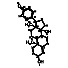 C[C@]12CC[C@H](O)C=C1CCC1C2CC[C@]2(C)[C@@H](c3ccc(=O)oc3)CC[C@]12O